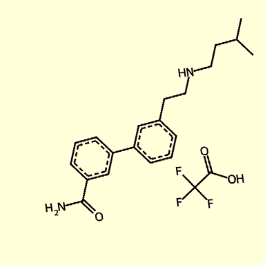 CC(C)CCNCCc1cccc(-c2cccc(C(N)=O)c2)c1.O=C(O)C(F)(F)F